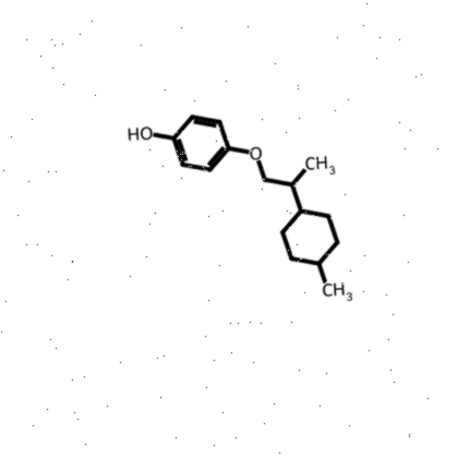 CC1CCC(C(C)COc2ccc(O)cc2)CC1